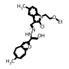 CCOCCn1c(Cl)c(/C=N/NC(=CO)c2cc3c(o2)C=CC(C)=CC3)c2cc(C)ccc21